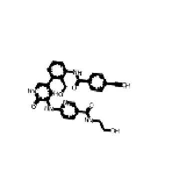 C#Cc1ccc(C(=O)Nc2cccc(-c3c[nH]c(=O)c(Nc4ccc(C(=O)NCCO)cn4)c3)c2CO)cc1